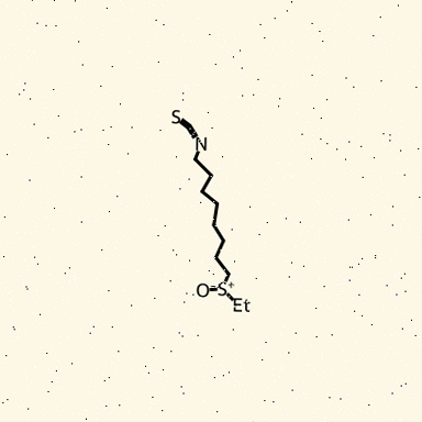 CC[S+]([O-])CCCCCCCCN=C=S